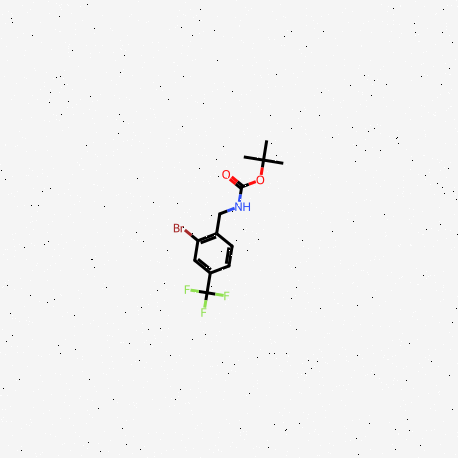 CC(C)(C)OC(=O)NCc1ccc(C(F)(F)F)cc1Br